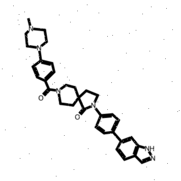 CN1CCN(c2ccc(C(=O)N3CCC4(CC3)CCN(c3ccc(-c5ccc6cn[nH]c6c5)cc3)C4=O)cc2)CC1